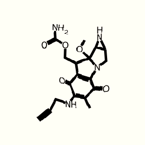 C#CCNC1=C(C)C(=O)C2=C(C1=O)C(COC(N)=O)C1(OC)C3NC3CN21